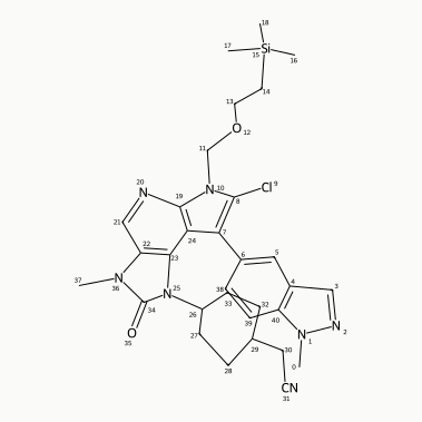 Cn1ncc2cc(-c3c(Cl)n(COCC[Si](C)(C)C)c4ncc5c(c34)n(C3CCC(CC#N)CC3)c(=O)n5C)ccc21